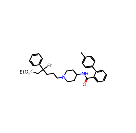 CCOC(=O)CC(CC)(CCCN1CCC(NC(=O)c2ccccc2-c2ccc(C)cc2)CC1)c1ccccc1